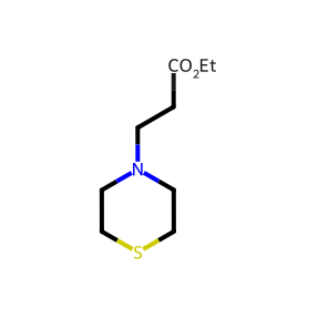 CCOC(=O)CCN1CCSCC1